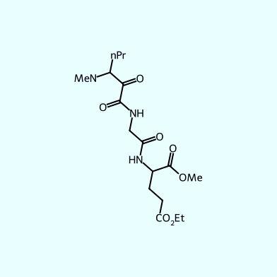 CCCC(NC)C(=O)C(=O)NCC(=O)NC(CCC(=O)OCC)C(=O)OC